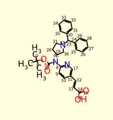 CC(C)(C)OC(=O)N(c1ccc(C=CC(=O)O)cn1)[C@@H]1CCN(C(c2ccccc2)c2ccccc2)C1